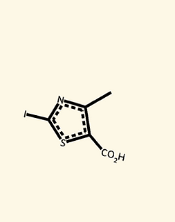 Cc1nc(I)sc1C(=O)O